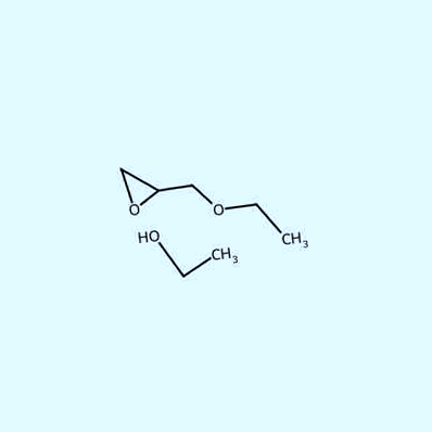 CCO.CCOCC1CO1